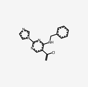 C=C(Cl)c1cnc(-n2ccnc2)nc1NCc1ccccc1